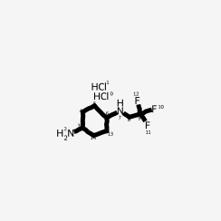 Cl.Cl.NC1CCC(NCC(F)(F)F)CC1